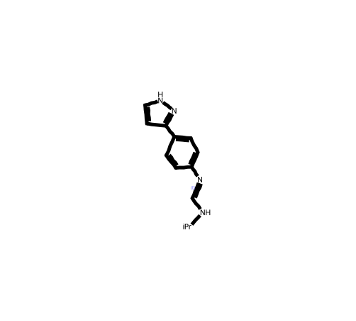 CC(C)N/C=N/c1ccc(-c2cc[nH]n2)cc1